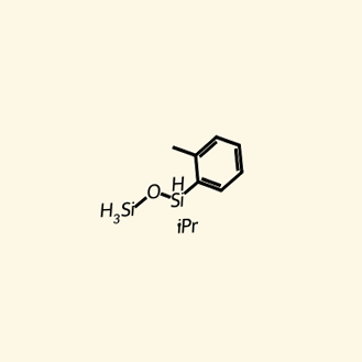 Cc1ccccc1[SiH](O[SiH3])C(C)C